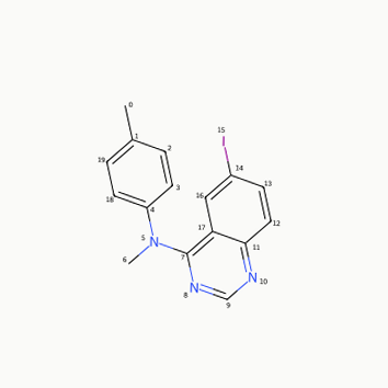 Cc1ccc(N(C)c2ncnc3ccc(I)cc23)cc1